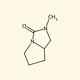 CN1CC2CCCN2C1=O